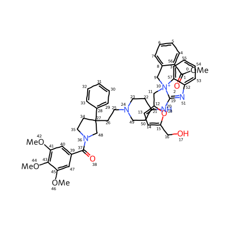 COC(=O)c1ccccc1C[N+]1(Cc2ccc(CO)o2)C(NC2CCN(CCC3(c4ccccc4)CCN(C(=O)c4cc(OC)c(OC)c(OC)c4)C3)CC2)=Nc2ccccc21